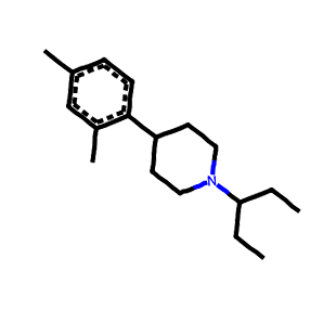 CCC(CC)N1CCC(c2ccc(C)cc2C)CC1